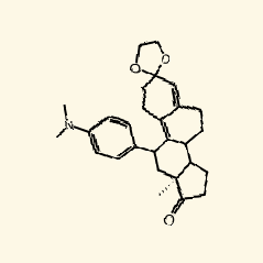 CN(C)c1ccc(C2C[C@]3(C)C(=O)CCC3C3CCC4=CC5(CCC4=C23)OCCO5)cc1